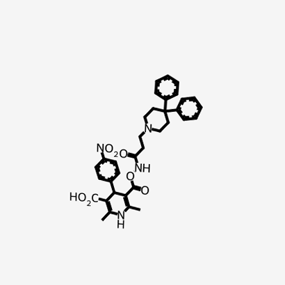 CC1=C(C(=O)O)C(c2ccc([N+](=O)[O-])cc2)C(C(=O)ONC(=O)CCN2CCC(c3ccccc3)(c3ccccc3)CC2)=C(C)N1